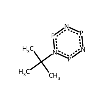 CC(C)(C)[n+]1pnpnp1